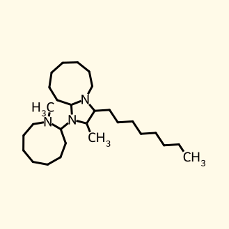 CCCCCCCCC1C(C)N(C2CCCCCCCN2C)C2CCCCCCCN12